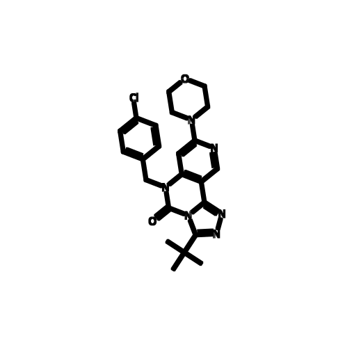 CC(C)(C)c1nnc2c3cnc(N4CCOCC4)cc3n(Cc3ccc(Cl)cc3)c(=O)n12